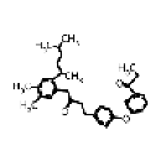 CCC(=O)c1cccc(Oc2ccc(CCC(=O)Cc3cc(C)c(C)cc3C(C)CCC(C)C)cc2)c1